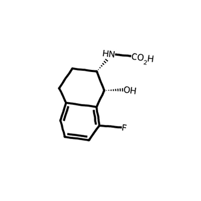 O=C(O)N[C@H]1CCc2cccc(F)c2[C@H]1O